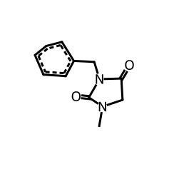 CN1CC(=O)N(Cc2ccccc2)C1=O